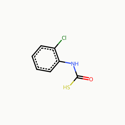 O=C(S)Nc1ccccc1Cl